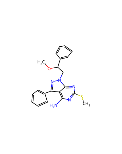 COC(Cn1nc(-c2ccccc2)c2c(N)nc(SC)nc21)c1ccccc1